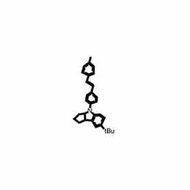 Cc1ccc(/C=C/c2ccc(N3c4ccc(C(C)(C)C)cc4C4CCCC43)cc2)cc1